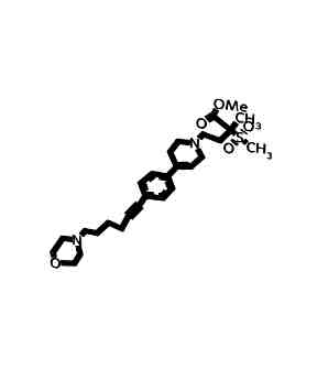 COC(=O)C(C)(CCN1CC=C(c2ccc(C#CCCCCN3CCOCC3)cc2)CC1)S(C)(=O)=O